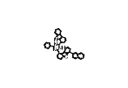 c1ccc(C2=NC(c3cccc4oc5c(-c6ccc7ccccc7c6)cccc5c34)NC(c3cccc4c3oc3ccccc34)N2)cc1